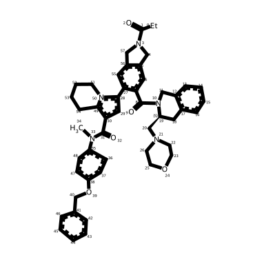 CCC(=O)N1Cc2cc(C(=O)N3Cc4ccccc4C[C@H]3CN3CCOCC3)c(-c3cc(C(=O)N(C)c4ccc(OCc5ccccc5)cc4)c4n3CCCC4)cc2C1